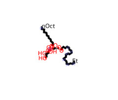 CC/C=C\C/C=C\C/C=C\C/C=C\C/C=C\C/C=C\CCC(=O)OC[C@H](COP(=O)(O)OC[C@@H](O)CO)OC(=O)CCCCCCCCC/C=C\CCCCCCCC